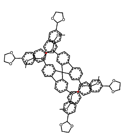 COc1ccc(N(c2ccc(C3OCCO3)cc2)c2ccc3c(c2)C2(c4cc(N(c5ccc(OC)cc5)c5ccc(C6OCCO6)cc5)ccc4-3)c3cc(N(c4ccc(OC)cc4)c4ccc(C5OCCO5)cc4)ccc3-c3ccc(N(c4ccc(OC)cc4)c4ccc(C5OCCO5)cc4)cc32)cc1